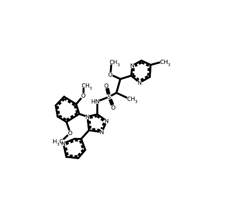 COc1cccc(OC)c1-n1c(NS(=O)(=O)C(C)C(OC)c2ncc(C)cn2)nnc1-c1cccnc1